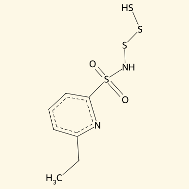 CCc1cccc(S(=O)(=O)NSSS)n1